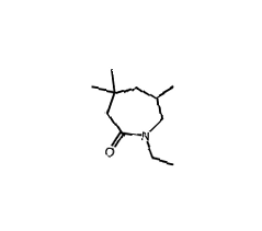 CCN1CC(C)CC(C)(C)CC1=O